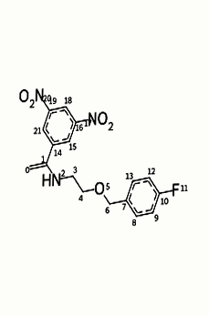 C=C(NCCOCc1ccc(F)cc1)c1cc([N+](=O)[O-])cc([N+](=O)[O-])c1